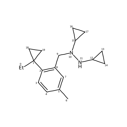 CCC1(c2ccc(C)cc2CN(NC2CC2)C2CC2)CC1